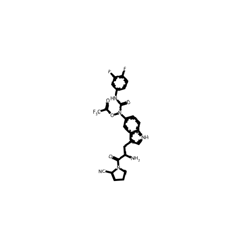 N#CC1CCCN1C(=O)C(N)Cc1c[nH]c2ccc(N(OC(=O)C(F)(F)F)C(=O)Nc3ccc(F)c(F)c3)cc12